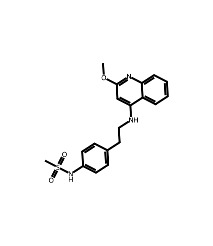 COc1cc(NCCc2ccc(NS(C)(=O)=O)cc2)c2ccccc2n1